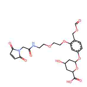 O=COCc1ccc(OC2CC(O)CC(C(=O)O)O2)cc1OCCOCCNC(=O)CN1C(=O)C=CC1=O